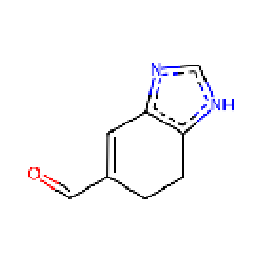 O=CC1=Cc2nc[nH]c2CC1